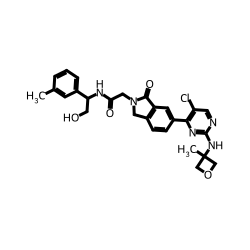 Cc1cccc(C(CO)NC(=O)CN2Cc3ccc(-c4nc(NC5(C)COC5)ncc4Cl)cc3C2=O)c1